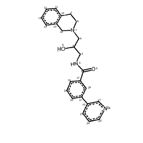 O=C(NCC(O)CN1CCc2ccccc2C1)c1cccc(-c2cccnc2)c1